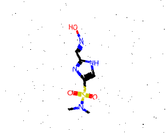 CN(C)S(=O)(=O)c1c[nH]c(C=NO)n1